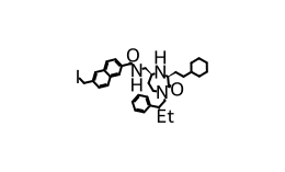 CC[C@H](CN1CC[C@@H](CNC(=O)c2ccc3cc(CI)ccc3c2)N[C@@H](CCC2CCCCC2)C1=O)c1ccccc1